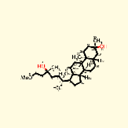 COCC[C@](C)(O)CC[C@@H](C)C1CC[C@H]2[C@@H]3CC[C@H]4C[C@@](C)(O)CC[C@]4(C)[C@H]3CC[C@]12C